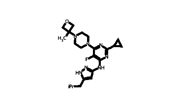 CC(C)Cc1cc(Nc2nc(C3CC3)nc(N3CCN(C4(C)COC4)CC3)c2F)n[nH]1